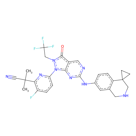 CC(C)(C#N)c1nc(-n2c3nc(Nc4ccc5c(c4)CNCC54CC4)ncc3c(=O)n2CC(F)(F)F)ccc1F